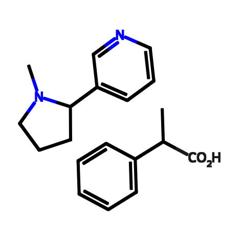 CC(C(=O)O)c1ccccc1.CN1CCCC1c1cccnc1